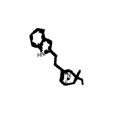 CCC1(C)CC2C=CC1N(CCc1cc3ccccc3[nH]1)C2